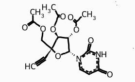 C#C[C@]1(COC(C)=O)O[C@@H](n2ccc(=O)[nH]c2=O)[C@@H](OC(C)=O)[C@@H]1OC(C)=O